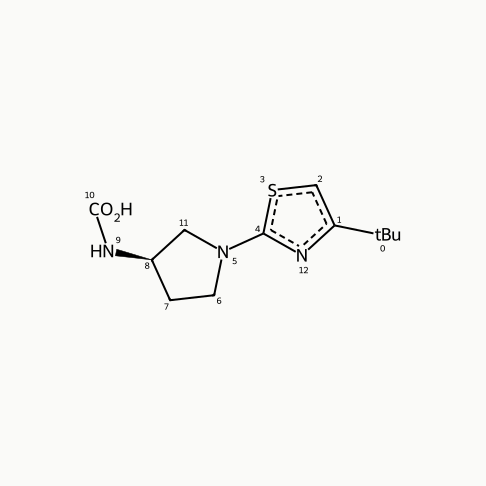 CC(C)(C)c1csc(N2CC[C@@H](NC(=O)O)C2)n1